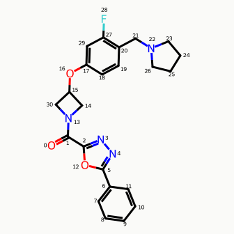 O=C(c1nnc(-c2ccccc2)o1)N1CC(Oc2ccc(CN3CCCC3)c(F)c2)C1